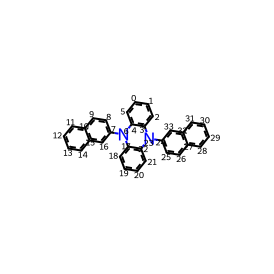 c1ccc2c(c1)N(c1ccc3ccccc3c1)c1ccccc1N2c1ccc2ccccc2c1